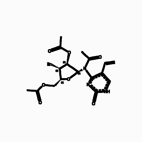 C=Cc1c[nH]c(=O)nc1N(C(C)=O)[C@@H]1O[C@H](COC(C)=O)[C@H](Br)[C@H]1OC(C)=O